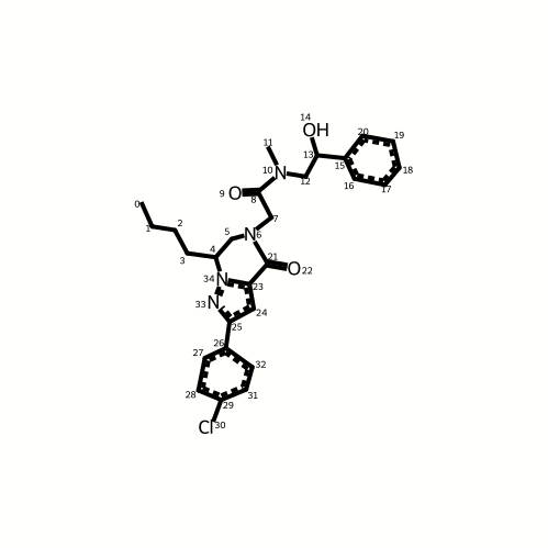 CCCCC1CN(CC(=O)N(C)CC(O)c2ccccc2)C(=O)c2cc(-c3ccc(Cl)cc3)nn21